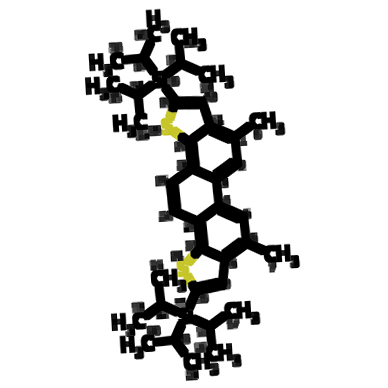 Cc1cc2c3cc(C)c4cc([Si](C(C)C)(C(C)C)C(C)C)sc4c3ccc2c2sc([Si](C(C)C)(C(C)C)C(C)C)cc12